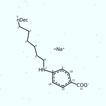 CCCCCCCCCCCCCCCCNc1ccc(C(=O)[O-])cc1.[Na+]